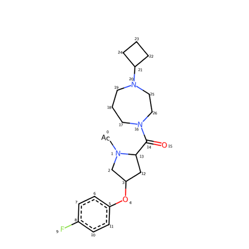 CC(=O)N1CC(Oc2ccc(F)cc2)CC1C(=O)N1CCCN(C2CCC2)CC1